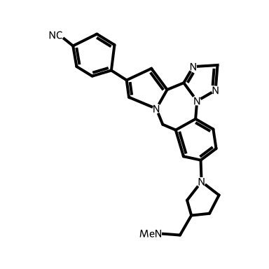 CNCC1CCN(c2ccc3c(c2)Cn2cc(-c4ccc(C#N)cc4)cc2-c2ncnn2-3)C1